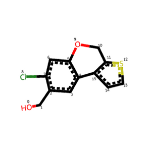 OCc1cc2c(cc1Cl)OCc1sccc1-2